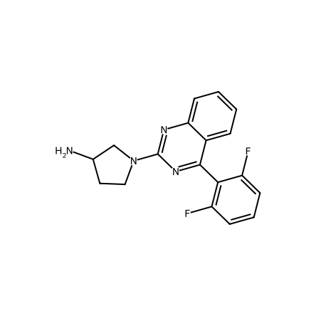 NC1CCN(c2nc(-c3c(F)cccc3F)c3ccccc3n2)C1